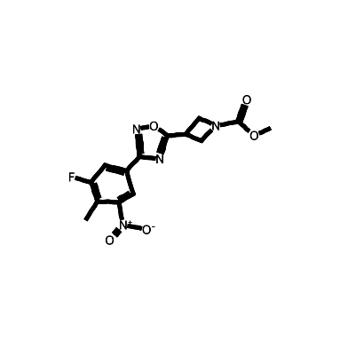 COC(=O)N1CC(c2nc(-c3cc(F)c(C)c([N+](=O)[O-])c3)no2)C1